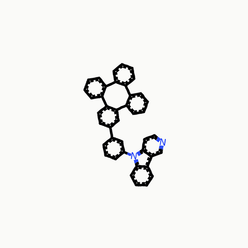 c1cc(-c2ccc3c(c2)-c2ccccc2-c2ccccc2-c2ccccc2-3)cc(-n2c3ccccc3c3cnccc32)c1